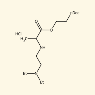 CCCCCCCCCCCCOC(=O)C(C)NCCN(CC)CC.Cl